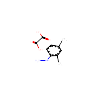 NNc1ccc(C(F)(F)F)cc1C(F)(F)F.O=C(O)C(=O)O